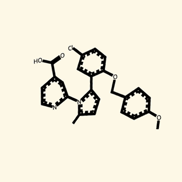 COc1ccc(COc2ccc(Cl)cc2-c2ccc(C)n2-c2cc(C(=O)O)ccn2)cc1